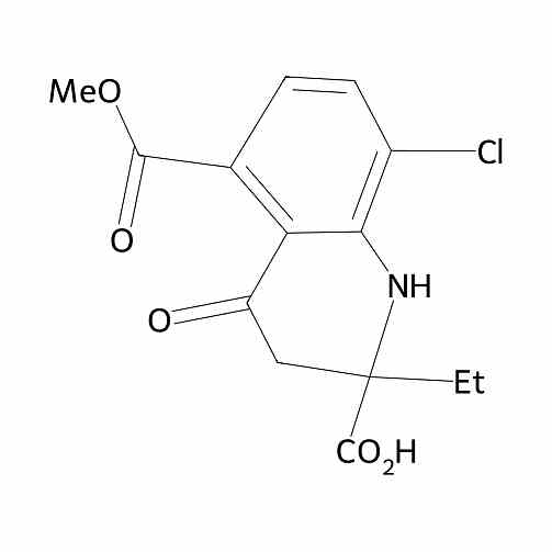 CCC1(C(=O)O)CC(=O)c2c(C(=O)OC)ccc(Cl)c2N1